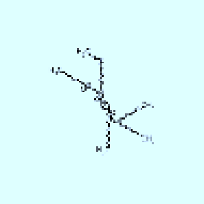 CCCC/C=C\CCCCCCCCN(CCCOC(=O)CCCCCCCCC)CC(=O)N1CCN(C(=O)CN(CCCCCCCCC)CCN(CCCCCCCCC)CCCCCCCCC)CC1